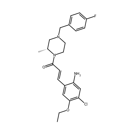 CCOc1cc(/C=C/C(=O)N2CCN(Cc3ccc(F)cc3)C[C@H]2C)c(N)cc1Cl